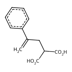 C=C(CC(C(=O)O)C(=O)O)c1ccccc1